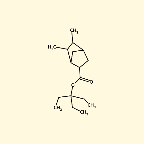 CCC(CC)(CC)OC(=O)C1CC2CC1C(C)C2C